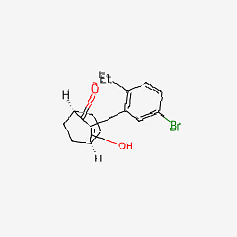 CCc1ccc(Br)cc1C1=C(O)[C@H]2CC[C@H](CC2)C1=O